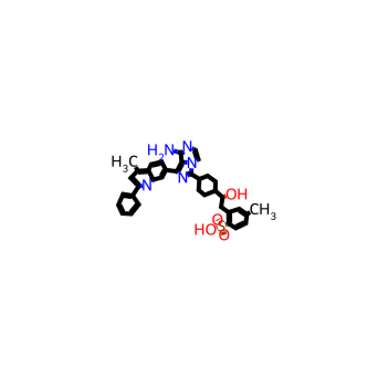 Cc1ccc(S(=O)(=O)O)c(CC(O)C2CCC(c3nc(-c4ccc5c(C)cc(-c6ccccc6)nc5c4)c4c(N)nccn34)CC2)c1